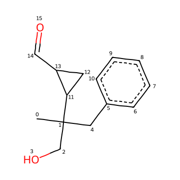 CC(CO)(Cc1ccccc1)C1CC1C=O